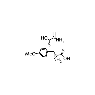 COc1ccc(CN(N)C(O)=S)cc1.NNC(O)=S